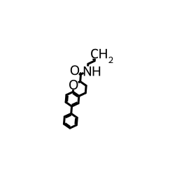 C=CCNC(=O)C1CCc2cc(-c3ccccc3)ccc2O1